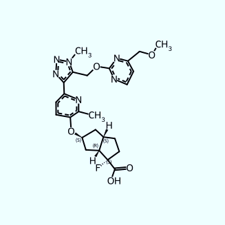 COCc1ccnc(OCc2c(-c3ccc(O[C@H]4C[C@@H]5CC[C@@](F)(C(=O)O)[C@@H]5C4)c(C)n3)nnn2C)n1